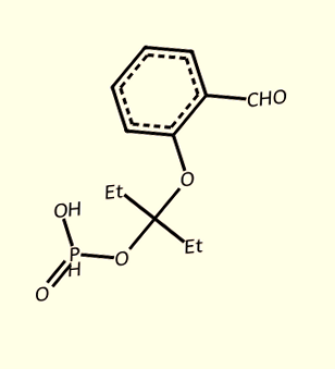 CCC(CC)(Oc1ccccc1C=O)O[PH](=O)O